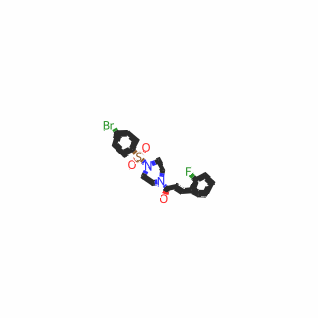 O=C(/C=C/c1ccccc1F)N1CCN(S(=O)(=O)c2ccc(Br)cc2)CC1